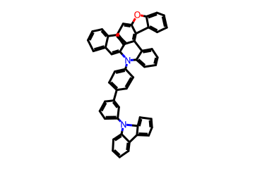 c1cc(-c2ccc(N(c3ccc4ccccc4c3)c3ccccc3-c3cccc4oc5ccccc5c34)cc2)cc(-n2c3ccccc3c3ccccc32)c1